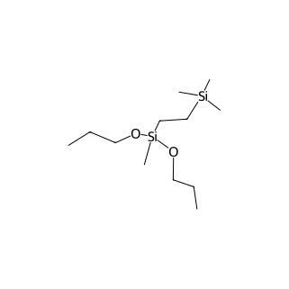 CCCO[Si](C)(CC[Si](C)(C)C)OCCC